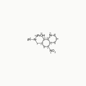 CC(C)N(Cc1cc([N+](=O)[O-])c2cccnc2c1O)C(C)C